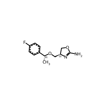 C[C@@H](OC[C@H]1COC(N)=N1)c1ccc(F)cc1